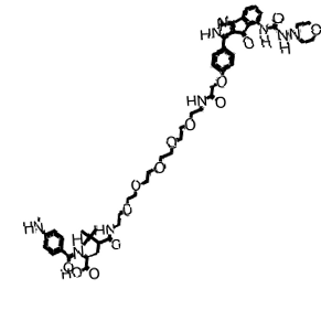 CNc1ccc(C(=O)N[C@@H](CC(C(=O)NCCOCCOCCOCCOCCOCCNC(=O)COc2ccc(-c3[nH]nc4c3C(=O)c3c(NC(=O)NN5CCOCC5)cccc3-4)cc2)C(C)(C)C)C(=O)O)cc1